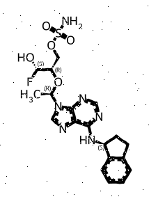 C[C@@H](O[C@H](COS(N)(=O)=O)[C@@H](O)F)n1cnc2c(N[C@H]3CCc4ccccc43)ncnc21